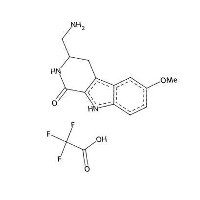 COc1ccc2[nH]c3c(c2c1)CC(CN)NC3=O.O=C(O)C(F)(F)F